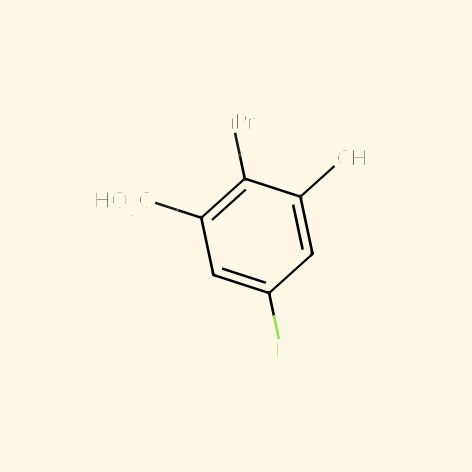 Cc1cc(F)cc(C(=O)O)c1C(C)C